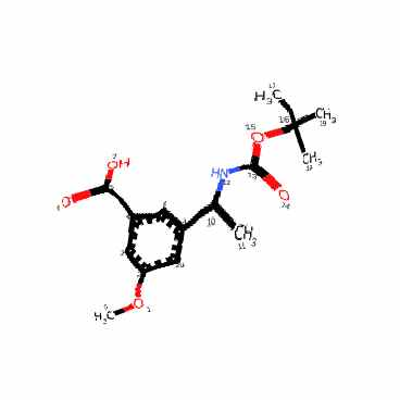 COc1cc(C(=O)O)cc(C(C)NC(=O)OC(C)(C)C)c1